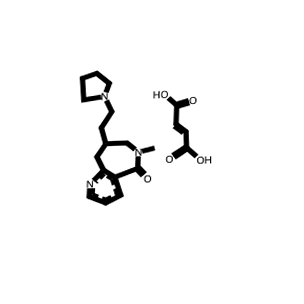 CN1CC(CCN2CCCC2)Cc2ncccc2C1=O.O=C(O)C=CC(=O)O